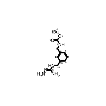 CC(C)(C)OC(=O)NCc1cccc(CN/C(N)=N/N)c1